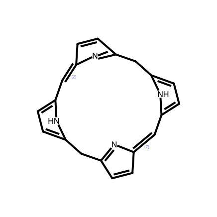 C1=C/C2=C/c3ccc([nH]3)CC3=N/C(=C\c4ccc([nH]4)CC1=N2)C=C3